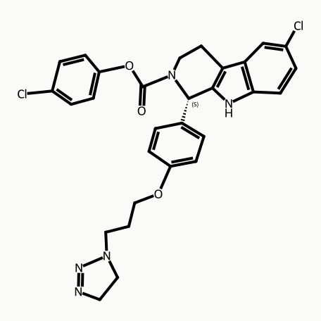 O=C(Oc1ccc(Cl)cc1)N1CCc2c([nH]c3ccc(Cl)cc23)[C@@H]1c1ccc(OCCCN2CCN=N2)cc1